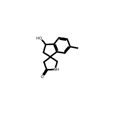 Cc1ccc2c(c1)C1(CNC(=O)C1)CC2O